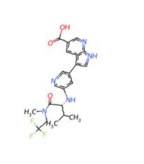 CC(C)[C@@H](Nc1cncc(-c2c[nH]c3ncc(C(=O)O)cc23)c1)C(=O)N(C)CC(F)(F)F